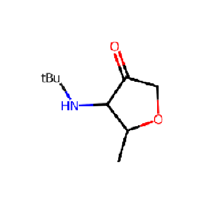 CC1OCC(=O)C1NC(C)(C)C